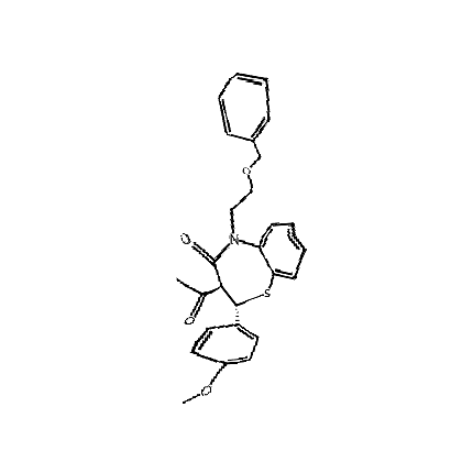 COc1ccc([C@H]2Sc3ccccc3N(CCOCc3ccccc3)C(=O)[C@@H]2C(C)=O)cc1